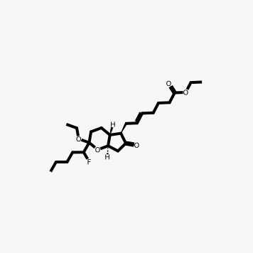 CCCCC(F)C1(OCC)CC[C@H]2[C@@H](CC(=O)[C@@H]2CC=CCCCC(=O)OCC)O1